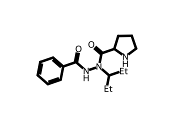 CCC(CC)N(NC(=O)c1ccccc1)C(=O)C1CCCN1